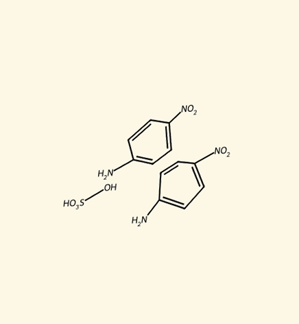 Nc1ccc([N+](=O)[O-])cc1.Nc1ccc([N+](=O)[O-])cc1.O=S(=O)(O)O